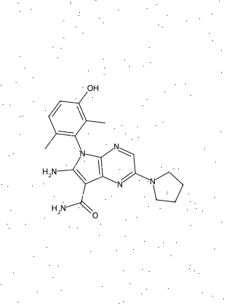 Cc1ccc(O)c(C)c1-n1c(N)c(C(N)=O)c2nc(N3CCCC3)cnc21